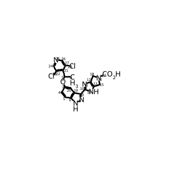 CC(Oc1ccc2[nH]nc(-c3nc4c([nH]3)CN(C(=O)O)C4)c2c1)c1c(Cl)cncc1Cl